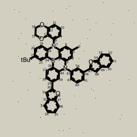 Cc1cc2c3c(c1)N(c1cccc4c1OCCO4)c1ccc(C(C)(C)C)cc1B3c1ccc(-c3cc4ccccc4o3)cc1N2c1cccc(-c2cc3ccccc3o2)c1